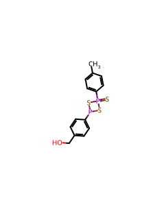 Cc1ccc(P2(=S)SP(c3ccc(CO)cc3)S2)cc1